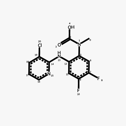 CN(C(=O)O)c1cc(F)c(F)cc1Nc1ncccc1Cl